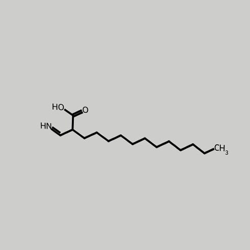 CCCCCCCCCCCCC(C=N)C(=O)O